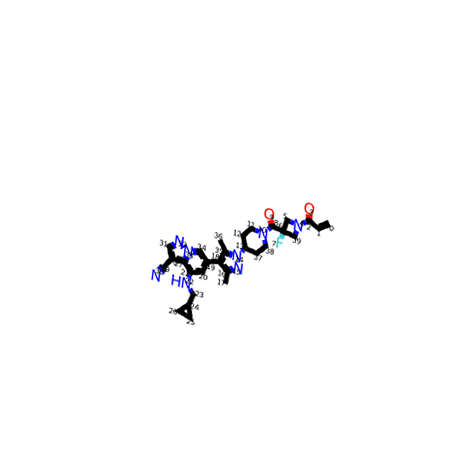 C=CC(=O)N1CC(F)(C(=O)N2CCC(n3nc(C)c(-c4cc(NCC5CC5)c5c(C#N)cnn5c4)c3C)CC2)C1